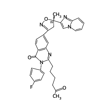 CC(=O)CCCCc1nc2cc(C3=NO[C@](C)(c4cn5ccccc5n4)C3)ccc2c(=O)n1-c1ccc(F)cc1